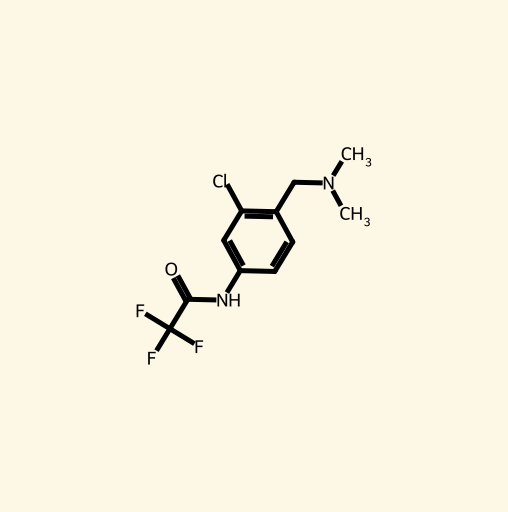 CN(C)Cc1ccc(NC(=O)C(F)(F)F)cc1Cl